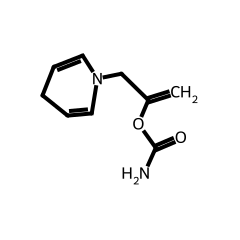 C=C(CN1C=CCC=C1)OC(N)=O